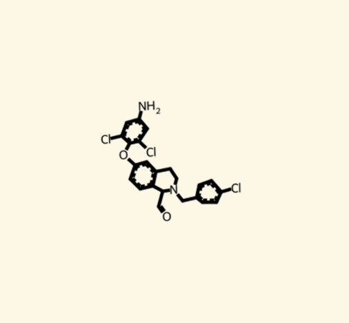 Nc1cc(Cl)c(Oc2ccc3c(c2)CCN(Cc2ccc(Cl)cc2)C3C=O)c(Cl)c1